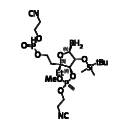 B[C@@H]1O[C@@](CC)(CCO[PH](=O)OCC[N+]#[C-])[C@H](OP(=C)(OC)OCC[N+]#[C-])C1O[Si](C)(C)C(C)(C)C